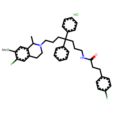 COc1cc2c(cc1F)CCN(CCCC(CCCNC(=O)CCc1ccc(F)cc1)(c1ccccc1)c1ccccc1)C2C.Cl